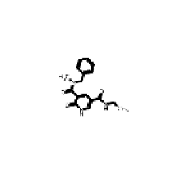 CCNC(=O)c1c[nH]c(=O)c(C(=O)N(C)Cc2ccccc2)c1